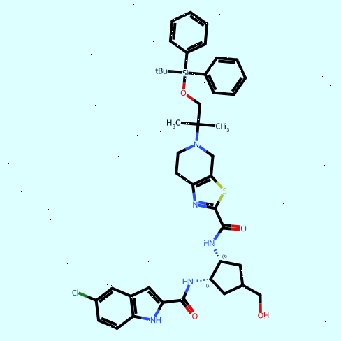 CC(C)(CO[Si](c1ccccc1)(c1ccccc1)C(C)(C)C)N1CCc2nc(C(=O)N[C@@H]3CC(CO)C[C@@H]3NC(=O)c3cc4cc(Cl)ccc4[nH]3)sc2C1